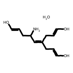 NC(C=C(CC=CO)CC=CO)CC=CO.O